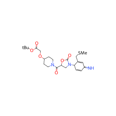 CSCC1=CC(=N)C=CC1N1CC(C(=O)N2CCC(OCC(=O)OC(C)(C)C)CC2)OC1=O